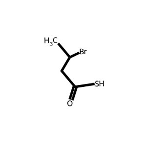 CC(Br)CC(=O)S